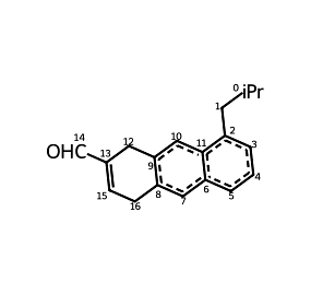 CC(C)Cc1cccc2cc3c(cc12)CC(C=O)=CC3